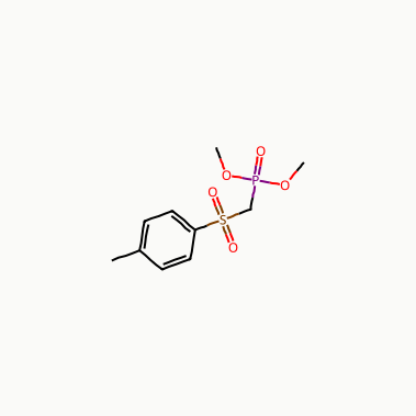 COP(=O)(CS(=O)(=O)c1ccc(C)cc1)OC